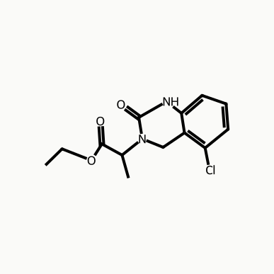 CCOC(=O)C(C)N1Cc2c(Cl)cccc2NC1=O